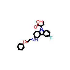 CCC(C(=O)O)n1c2c(c3cc(F)ccc31)C[C@@H](NCCOc1ccccc1)CC2